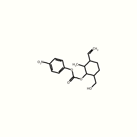 C=CC1CCC(CO)C(OC(=O)Oc2ccc([N+](=O)[O-])cc2)C1C